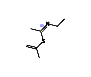 C=C(C)S/C(C)=N\CC